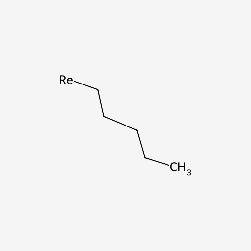 CCCC[CH2][Re]